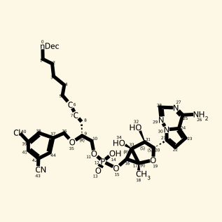 CCCCCCCCCCCCCCCCCC[C@H](COP(=O)(O)OC1[C@@]2(C)O[C@@H](c3ccc4c(N)ncnn34)[C@H](O)[C@@]12O)OCc1cc(Cl)cc(C#N)c1